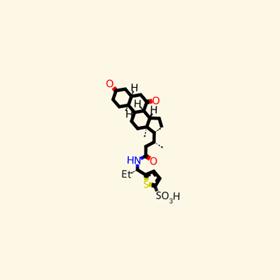 CC[C@H](NC(=O)C[C@@H](C)[C@H]1CC[C@H]2[C@@H]3C(=O)C[C@@H]4CC(=O)CC[C@]4(C)[C@H]3CC[C@]12C)c1ccc(S(=O)(=O)O)s1